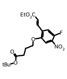 CCOC(=O)/C=C/c1cc(F)c([N+](=O)[O-])cc1OCCCC(=O)OC(C)(C)C